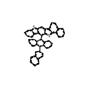 c1ccc2cc(-c3c4ccccc4c(-c4c5sc6c7ccccc7ccc6c5cc5sc6ccccc6c45)c4ccccc34)ccc2c1